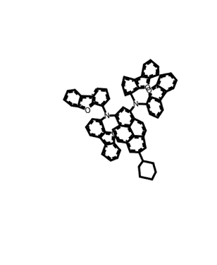 c1ccc2c(c1)oc1c(N(c3cc(N(c4cccc5c4oc4ccccc45)c4cccc5c4oc4ccccc45)c4ccc5cc(C6CCCCC6)cc6ccc3c4c65)c3cccc4c3oc3ccccc34)cccc12